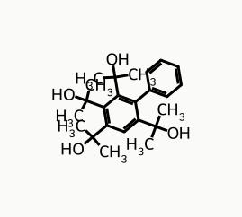 CC(C)(O)c1cc(C(C)(C)O)c(C(C)(C)O)c(C(C)(C)O)c1-c1ccccc1